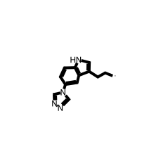 [CH2]CCc1c[nH]c2ccc(-n3cnnc3)cc12